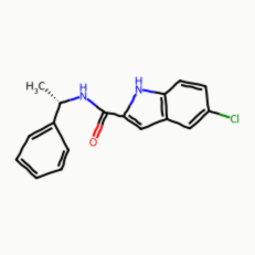 C[C@H](NC(=O)c1cc2cc(Cl)ccc2[nH]1)c1ccccc1